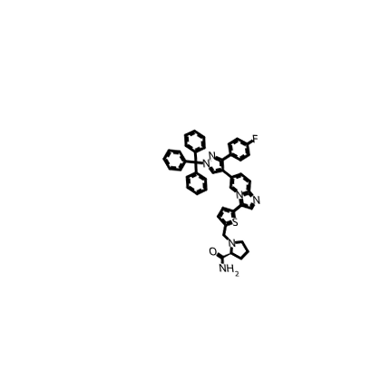 NC(=O)[C@@H]1CCCN1Cc1ccc(-c2cnc3ccc(-c4cn(C(c5ccccc5)(c5ccccc5)c5ccccc5)nc4-c4ccc(F)cc4)cn23)s1